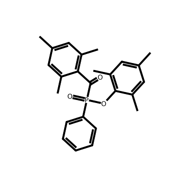 Cc1cc(C)c(OP(=O)(C(=O)c2c(C)cc(C)cc2C)c2ccccc2)c(C)c1